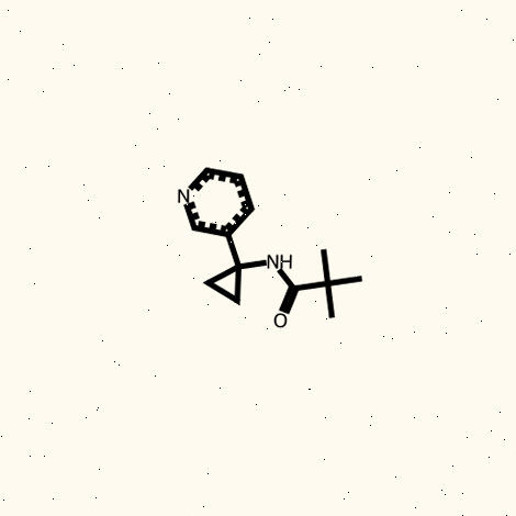 CC(C)(C)C(=O)NC1(c2cccnc2)CC1